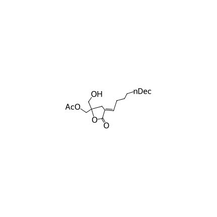 CCCCCCCCCCCCC/C=C1\CC(CO)(COC(C)=O)OC1=O